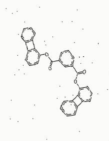 O=C(Oc1cccc2c1-c1ccccc1-2)c1cccc(C(=O)Oc2cccc3c2-c2ccccc2-3)c1